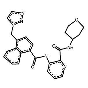 O=C(NC1CCOCC1)c1ncccc1NC(=O)c1ccc(Cn2ccnn2)c2ccccc12